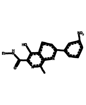 CCNC(=O)c1nc(C)c2nc(-c3cccc([N+](=O)[O-])c3)ccc2c1O